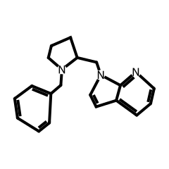 c1ccc(CN2CCCC2Cn2ccc3cccnc32)cc1